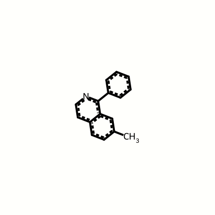 Cc1ccc2ccnc(-c3ccccc3)c2c1